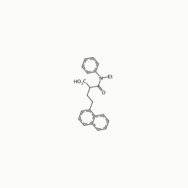 CCN(C(=O)C(CCc1cccc2ccccc12)C(=O)O)c1ccccc1